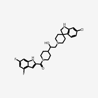 O=C(c1cc2c(F)cc(F)cc2[nH]1)N1CCC(C(O)CN2CCC3(CC2)CNc2cc(Cl)ccc23)CC1